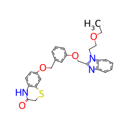 CCOCCn1c(COc2cccc(COc3ccc4c(c3)SCC(=O)N4)c2)nc2ccccc21